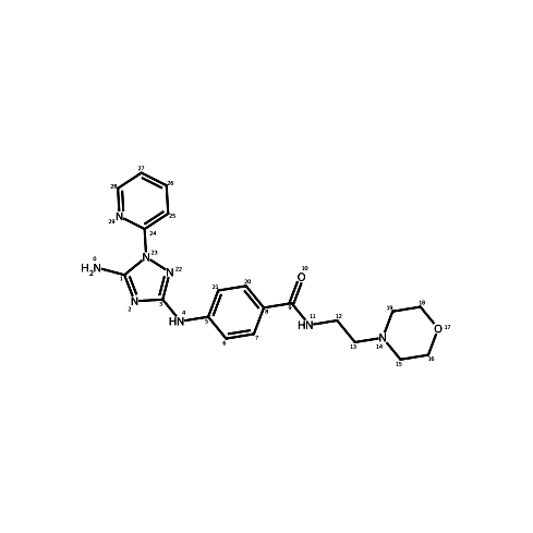 Nc1nc(Nc2ccc(C(=O)NCCN3CCOCC3)cc2)nn1-c1ccccn1